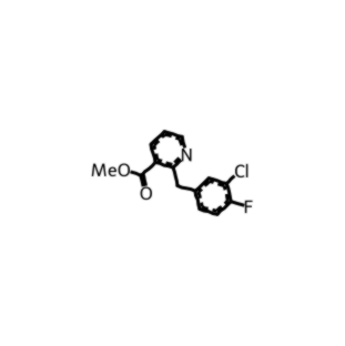 COC(=O)c1cccnc1Cc1ccc(F)c(Cl)c1